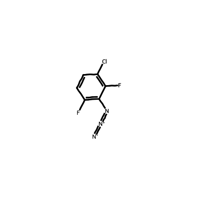 [N-]=[N+]=Nc1c(F)ccc(Cl)c1F